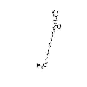 CCCCCC=CC=CC=CC=CC=CC(=O)OCc1ccccc1